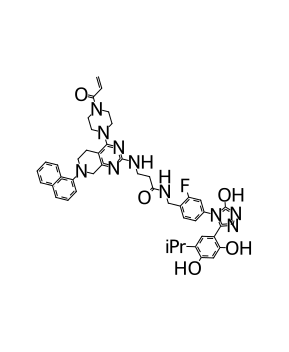 C=CC(=O)N1CCN(c2nc(NCCC(=O)NCc3ccc(-n4c(O)nnc4-c4cc(C(C)C)c(O)cc4O)cc3F)nc3c2CCN(c2cccc4ccccc24)C3)CC1